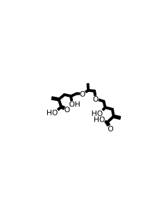 C=C(CC(O)COCC(C)OCC(O)CC(=C)C(=O)O)C(=O)O